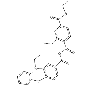 C=C(OC(=O)c1ccc(C(=O)OCC)cc1CC)c1ccc2c(c1)N(CC)c1ccccc1S2